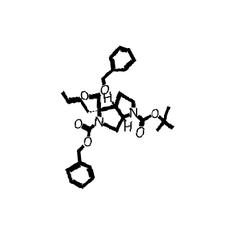 C/C=C/C[C@]1(C(=O)OCc2ccccc2)[C@H]2CCN(C(=O)OC(C)(C)C)[C@H]2CN1C(=O)OCc1ccccc1